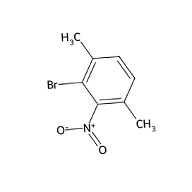 Cc1ccc(C)c([N+](=O)[O-])c1Br